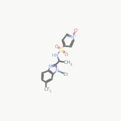 CCn1c(C(C)NS(=O)(=O)c2cc[n+]([O-])cc2)nc2ccc(C(F)(F)F)cc21